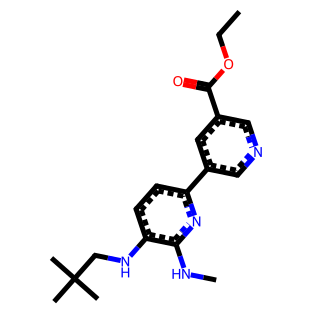 CCOC(=O)c1cncc(-c2ccc(NCC(C)(C)C)c(NC)n2)c1